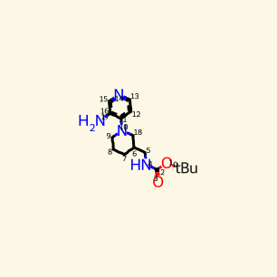 CC(C)(C)OC(=O)NCC1CCCN(c2ccncc2N)C1